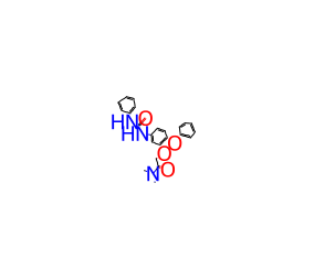 CN(C)C(=O)COc1cc(NC(=O)Nc2ccccc2)ccc1Oc1ccccc1